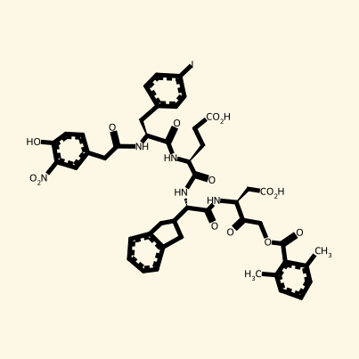 Cc1cccc(C)c1C(=O)OCC(=O)[C@H](CC(=O)O)NC(=O)[C@@H](NC(=O)[C@H](CCC(=O)O)NC(=O)[C@H](Cc1ccc(I)cc1)NC(=O)Cc1ccc(O)c([N+](=O)[O-])c1)C1Cc2ccccc2C1